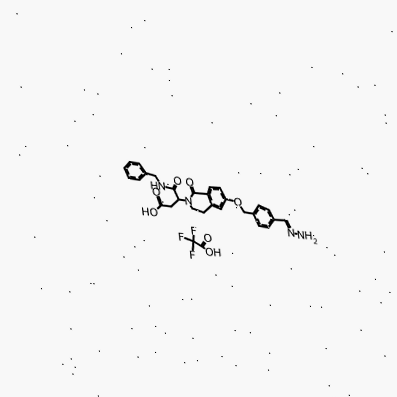 NN=Cc1ccc(COc2ccc3c(c2)CCN(C(CC(=O)O)C(=O)NCc2ccccc2)C3=O)cc1.O=C(O)C(F)(F)F